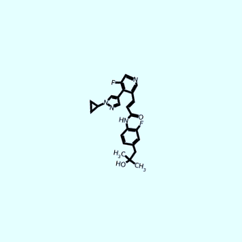 CC(C)(O)Cc1ccc(NC(=O)/C=C/c2cncc(F)c2-c2cnn(C3CC3)c2)c(F)c1